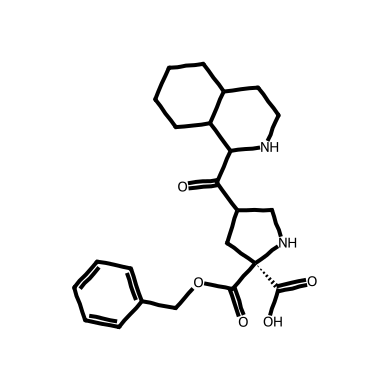 O=C(C1CN[C@@](C(=O)O)(C(=O)OCc2ccccc2)C1)C1NCCC2CCCCC21